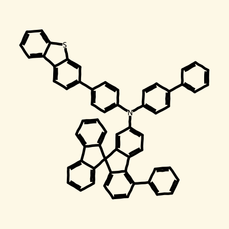 c1ccc(-c2ccc(N(c3ccc(-c4ccc5c(c4)sc4ccccc45)cc3)c3ccc4c(c3)C3(c5ccccc5-c5ccccc53)c3cccc(-c5ccccc5)c3-4)cc2)cc1